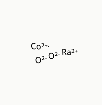 [Co+2].[O-2].[O-2].[Ra+2]